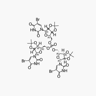 CC1(C)O[C@@H]2[C@H](O1)[C@@H](COP(=O)(OC[C@H]1O[C@@H](n3cc(Br)c(=O)[nH]c3=O)[C@@H]3OC(C)(C)O[C@@H]31)OC[C@H]1O[C@@H](n3cc(Br)c(=O)[nH]c3=O)[C@@H]3OC(C)(C)O[C@@H]31)O[C@H]2n1cc(Br)c(=O)[nH]c1=O